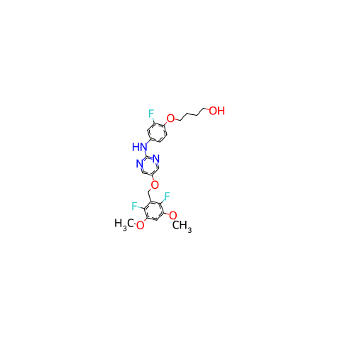 COc1cc(OC)c(F)c(COc2cnc(Nc3ccc(OCCCCO)c(F)c3)nc2)c1F